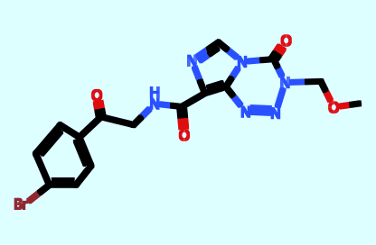 COCn1nnc2c(C(=O)NCC(=O)c3ccc(Br)cc3)ncn2c1=O